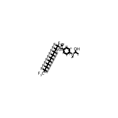 CC(O)N(C)c1ccc(S(=O)(=O)C(F)(F)C(F)(F)C(F)(F)C(F)(F)C(F)(F)C(F)(F)C(F)(F)C(F)(F)C(F)(F)C(F)(F)F)cc1